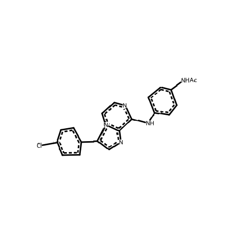 CC(=O)Nc1ccc(Nc2nccn3c(-c4ccc(Cl)cc4)cnc23)cc1